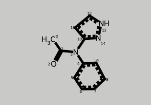 CC(=O)N(c1ccccc1)c1cc[nH]n1